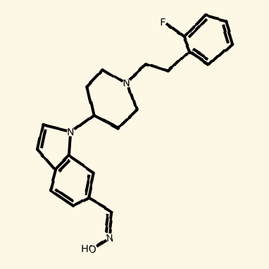 O/N=C\c1ccc2ccn(C3CCN(CCc4ccccc4F)CC3)c2c1